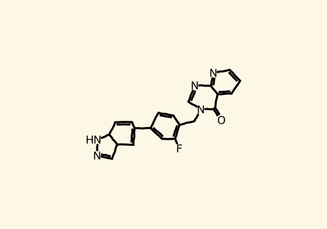 O=c1c2cccnc2ncn1Cc1ccc(C2=CC3C=NNC3C=C2)cc1F